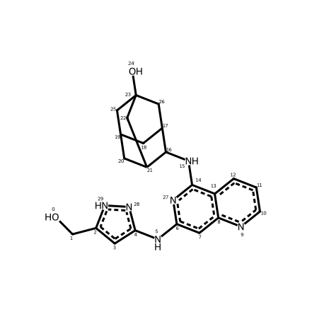 OCc1cc(Nc2cc3ncccc3c(NC3C4CC5CC3CC(O)(C5)C4)n2)n[nH]1